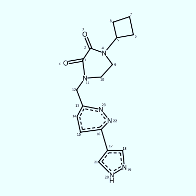 O=C1C(=O)N(C2CCC2)CCN1Cc1ccc(-c2cn[nH]c2)nn1